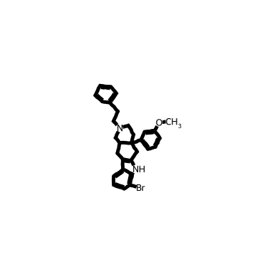 COc1cccc(C23CCN(CCc4ccccc4)CC2Cc2c([nH]c4c(Br)cccc24)C3)c1